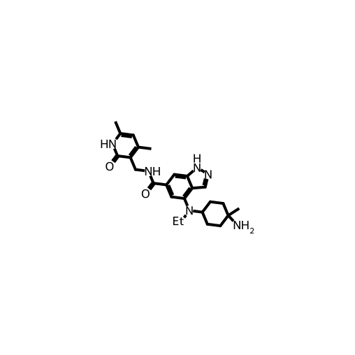 CCN(c1cc(C(=O)NCc2c(C)cc(C)[nH]c2=O)cc2[nH]ncc12)C1CCC(C)(N)CC1